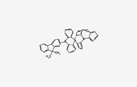 CC1(C)c2ccccc2-c2ccc(B3c4ccccc4[Si]4(c5ccccc53)c3ccccc3B3c5ccccc5Oc5cccc4c53)cc21